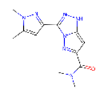 Cc1cc(-c2n[nH]c3cc(C(=O)N(C)C)nn23)nn1C